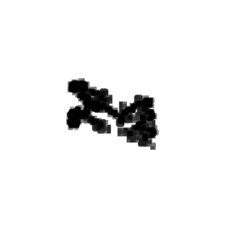 Cc1ccc2ccccc2c1C(C)(C)C(/C=C/C(=C/C=C1/N(CCCS(=O)(=O)O)c2ccc3ccccc3c2C1(C)C)c1ccc(C(=O)NCCCC[C@H](NC(=O)CCCNC(=O)[C@@H]2CCCN2C(=O)[C@@H]2CCCN2C(=O)[C@H](CCCNC(=N)N)NC(=O)[C@@H]2CCCN2C(=O)CN)C(=O)O)cn1)=N/CCCS(=O)(=O)O